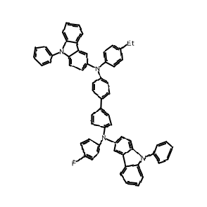 CCc1ccc(N(c2ccc(-c3ccc(N(c4ccc(F)cc4)c4ccc5c(c4)c4ccccc4n5-c4ccccc4)cc3)cc2)c2ccc3c(c2)c2ccccc2n3-c2ccccc2)cc1